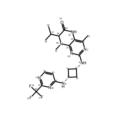 Cc1nc(N[C@H]2C[C@@H](Nc3ccnc(C(F)(F)F)n3)C2)nc2c1NC(=O)C(C(C)C)N2C